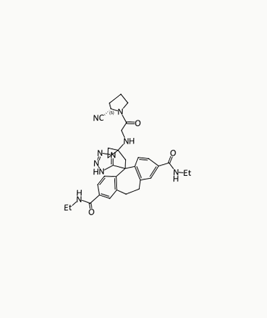 CCNC(=O)c1ccc2c(c1)CCc1cc(C(=O)NCC)ccc1C2(CC1(NCC(=O)N2CCC[C@H]2C#N)CC1)c1nnn[nH]1